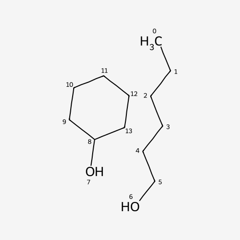 CCCCCCO.OC1CCCCC1